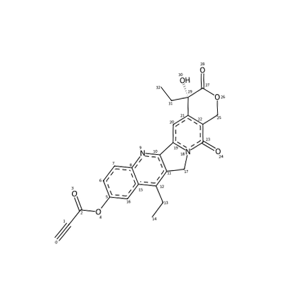 C#CC(=O)Oc1ccc2nc3c(c(CC)c2c1)Cn1c-3cc2c(c1=O)COC(=O)[C@]2(O)CC